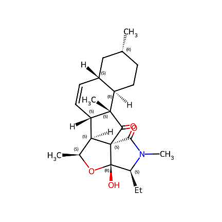 CC[C@@H]1N(C)C(=O)[C@@]23C(=O)[C@@]4(C)[C@@H]5CC[C@@H](C)C[C@H]5C=C[C@H]4[C@@H]2[C@H](C)O[C@@]13O